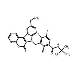 CCc1ccc2c(c1)c1c3cccnc3oc(=O)c1n2Cc1c(F)c(F)cc(C(=O)NC(C)(C)C)c1F